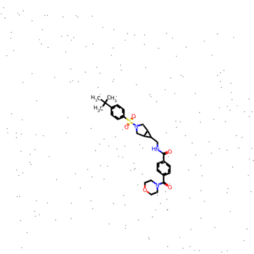 CC(C)(C)c1ccc(S(=O)(=O)N2CC3C(CNC(=O)c4ccc(C(=O)N5CCOCC5)cc4)C3C2)cc1